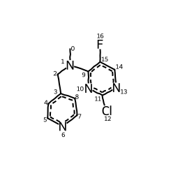 CN(Cc1ccncc1)c1nc(Cl)ncc1F